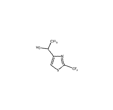 CC(S)c1csc(C(F)(F)F)n1